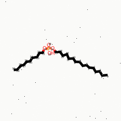 CCCCCCCCCCCCCCCCOP(=O)(O)OCCCCCCCCCC